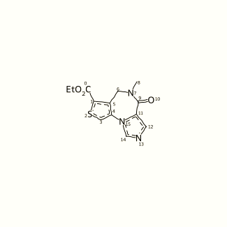 CCOC(=O)c1scc2c1CN(C)C(=O)c1cncn1-2